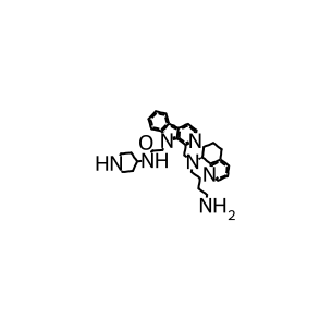 NCCCCN(Cc1nccc2c3ccccc3n(CC(=O)NC3CCNCC3)c12)[C@H]1CCCc2cccnc21